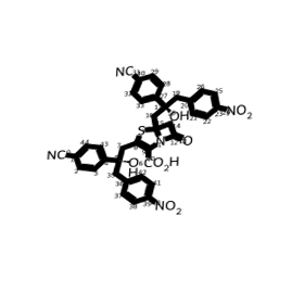 N#Cc1ccc([C@@](O)(CC2=C(C(=O)O)N3C(=O)CC3(C[C@@](O)(Cc3ccc([N+](=O)[O-])cc3)c3ccc(C#N)cc3)S2)Cc2ccc([N+](=O)[O-])cc2)cc1